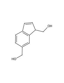 OCc1ccc2c(c1)C(CO)C=C2